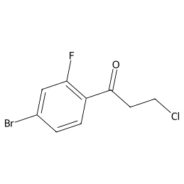 O=C(CCCl)c1ccc(Br)cc1F